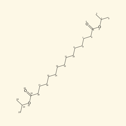 CC(C)OC(=O)CCCCCCCCCCCCCC(=O)OC(C)C